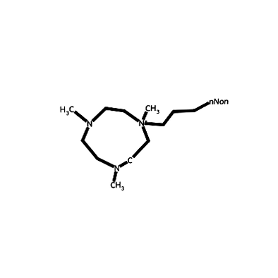 CCCCCCCCCCCC[N+]1(C)CCN(C)CCN(C)CC1